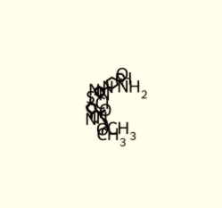 COC(C)Cn1cnc2ccc(Sc3cnc(N4CCC5(CC4)CO[C@@H](I)[C@H]5N)cn3)c(Cl)c2c1=O